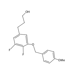 COc1ccc(COc2cc(CCCO)cc(F)c2F)cc1